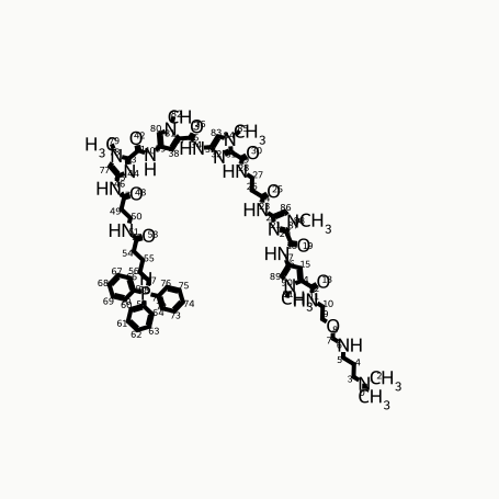 CN(C)CCCNCOCCNC(=O)c1cc(NC(=O)c2nc(NC(=O)CCNC(=O)c3nc(NC(=O)c4cc(NC(=O)c5nc(NC(=O)CCNC(=O)CCCC[PH](c6ccccc6)(c6ccccc6)c6ccccc6)cn5C)cn4C)cn3C)cn2C)cn1C